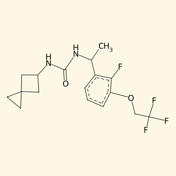 CC(NC(=O)NC1CC2(CC2)C1)c1cccc(OCC(F)(F)F)c1F